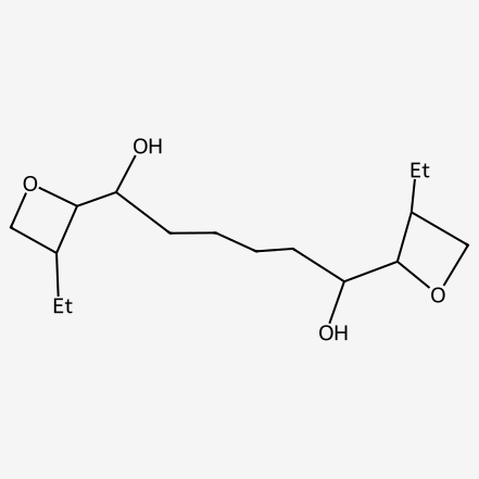 CCC1COC1C(O)CCCCC(O)C1OCC1CC